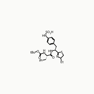 CCC1CSC([C@H](Cc2ccc(NS(=O)(=O)O)cc2)NC(=O)[C@H](CC(C)C)NC(=O)OC(C)(C)C)=N1